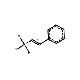 F[B-](F)(F)/C=C/c1ccccc1